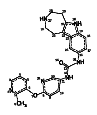 Cc1ncccc1Oc1ccc(NC(=O)Nc2ccc3[nH]c4c(c3c2)CCNCC4)cn1